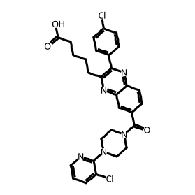 O=C(O)CCCCc1nc2cc(C(=O)N3CCN(c4ncccc4Cl)CC3)ccc2nc1-c1ccc(Cl)cc1